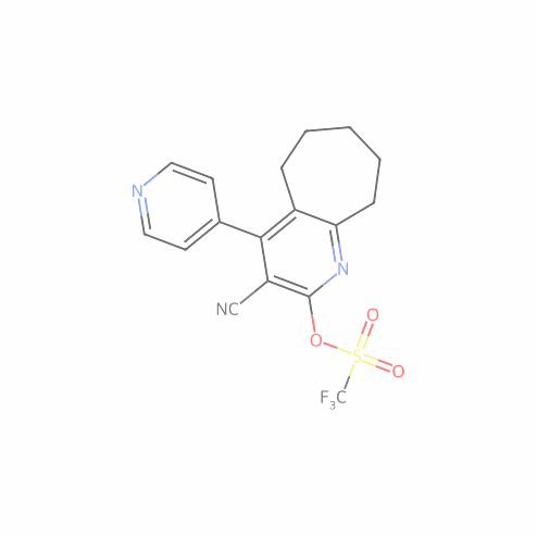 N#Cc1c(OS(=O)(=O)C(F)(F)F)nc2c(c1-c1ccncc1)CCCCC2